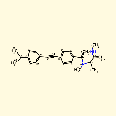 C=C(NC)C(C)N(C)C(=C)c1ccc(C#Cc2ccc(C(C)C)cc2)cc1